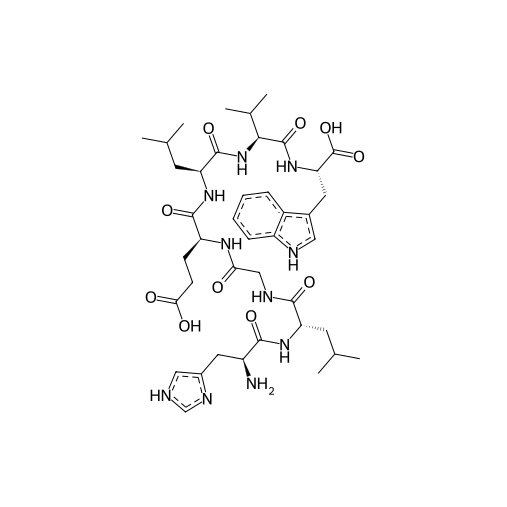 CC(C)C[C@H](NC(=O)[C@H](CCC(=O)O)NC(=O)CNC(=O)[C@H](CC(C)C)NC(=O)[C@@H](N)Cc1c[nH]cn1)C(=O)N[C@H](C(=O)N[C@@H](Cc1c[nH]c2ccccc12)C(=O)O)C(C)C